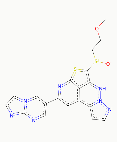 COCC[S+]([O-])c1sc2nc(-c3cnc4nccn4c3)cc3c2c1[nH]n1nccc31